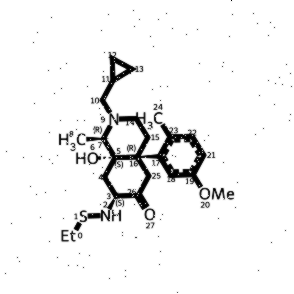 CCSN[C@H]1C[C@@]2(O)[C@@H](C)N(CC3CC3)CC[C@]2(c2cc(OC)ccc2C)CC1=O